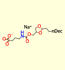 CCCCCCCCCCCCC1OCC(COC(=O)NCCCS(=O)(=O)[O-])O1.[Na+]